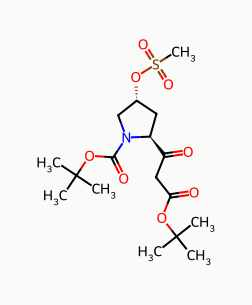 CC(C)(C)OC(=O)CC(=O)[C@@H]1C[C@@H](OS(C)(=O)=O)CN1C(=O)OC(C)(C)C